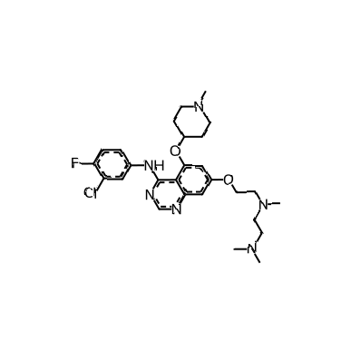 CN(C)CCN(C)CCOc1cc(OC2CCN(C)CC2)c2c(Nc3ccc(F)c(Cl)c3)ncnc2c1